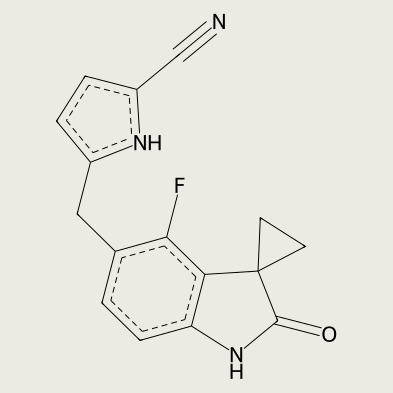 N#Cc1ccc(Cc2ccc3c(c2F)C2(CC2)C(=O)N3)[nH]1